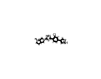 CN1CCC2CN(c3nnc(-c4ccc(-c5cn[nH]c5)cc4Cl)s3)CC21